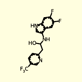 OC(Cc1ccc(C(F)(F)F)cn1)Nc1c[nH]c2cc(F)c(F)cc12